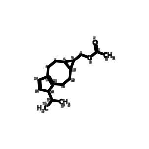 CC(=O)OCC1C2CCC3=C(CCC21)C(C(C)C)C=C3